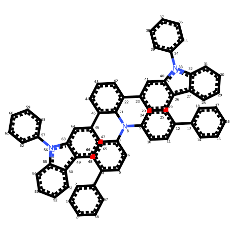 c1ccc(-c2ccc(N(c3ccc(-c4ccccc4)cc3)c3c(-c4ccc5c6ccccc6n(-c6ccccc6)c5c4)cccc3-c3ccc4c5ccccc5n(-c5ccccc5)c4c3)cc2)cc1